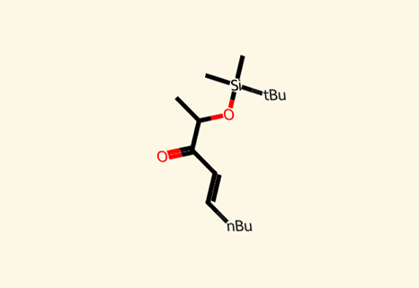 CCCC/C=C/C(=O)C(C)O[Si](C)(C)C(C)(C)C